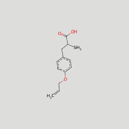 C=CCOc1ccc(CC([SiH3])C(=O)O)cc1